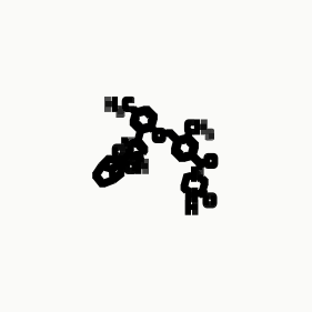 Cc1ccc(OCc2ccc(C(=O)N3CCNC(=O)C3)cc2C)c(-c2csc(N3CC4CCC(C3)C4C(=O)O)n2)c1